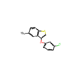 CC(C)(C)c1ccc2scc(Oc3cccc(Cl)c3)c2c1